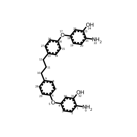 Nc1ccc(Oc2ccc(CCCc3ccc(Oc4ccc(N)c(O)c4)cc3)cc2)cc1O